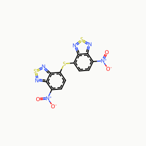 O=[N+]([O-])c1ccc(Sc2ccc([N+](=O)[O-])c3nsnc23)c2nsnc12